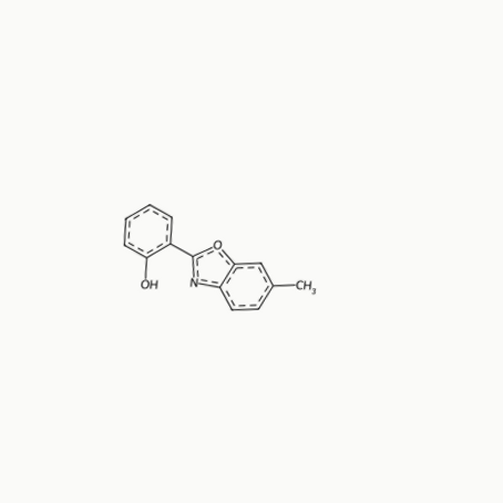 Cc1ccc2nc(-c3ccccc3O)oc2c1